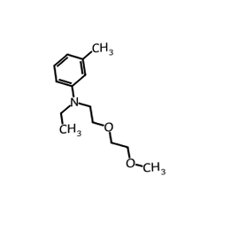 CCN(CCOCCOC)c1cccc(C)c1